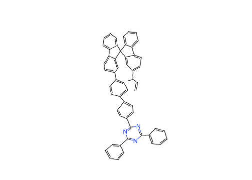 C=CC(C)c1ccc2c(c1)C1(c3ccccc3-c3ccc(-c4ccc(-c5ccc(-c6nc(-c7ccccc7)nc(-c7ccccc7)n6)cc5)cc4)cc31)c1ccccc1-2